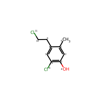 Cc1cc(O)c(Cl)cc1CCCl